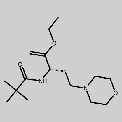 C=C(OCC)[C@H](CCN1CCOCC1)NC(=O)C(C)(C)C